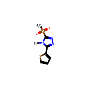 CCn1c(-c2cccs2)nnc1S(C)(=O)=O